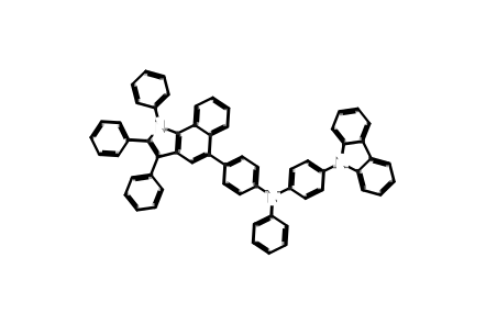 c1ccc(-c2c(-c3ccccc3)n(-c3ccccc3)c3c2cc(-c2ccc(N(c4ccccc4)c4ccc(-n5c6ccccc6c6ccccc65)cc4)cc2)c2ccccc23)cc1